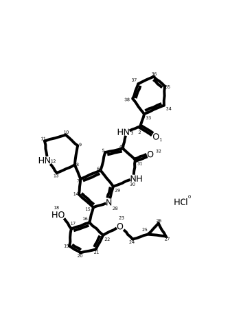 Cl.O=C(Nc1cc2c(C3CCCNC3)cc(-c3c(O)cccc3OCC3CC3)nc2[nH]c1=O)c1ccccc1